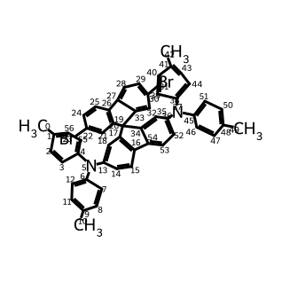 Cc1ccc(N(c2ccc(C)cc2)c2ccc3c(c2)C2(c4cc(Br)ccc4-c4ccc(Br)cc42)c2cc(N(c4ccc(C)cc4)c4ccc(C)cc4)ccc2-3)cc1